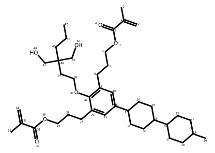 C=C(C)C(=O)OCCCc1cc(C2CCC(C3CCC(C)CC3)CC2)cc(CCCOC(=O)C(=C)C)c1OCCC(CO)(CO)CCC